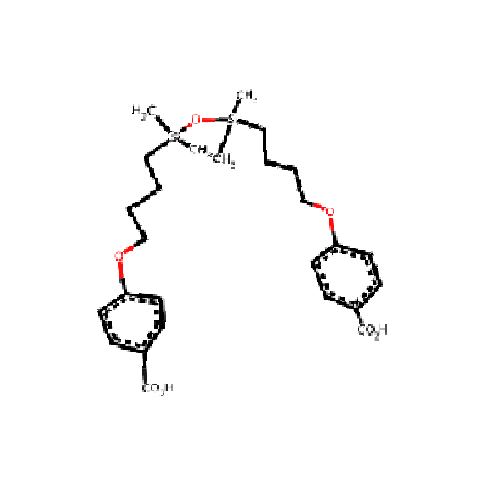 C[Si](C)(CCCCOc1ccc(C(=O)O)cc1)O[Si](C)(C)CCCCOc1ccc(C(=O)O)cc1